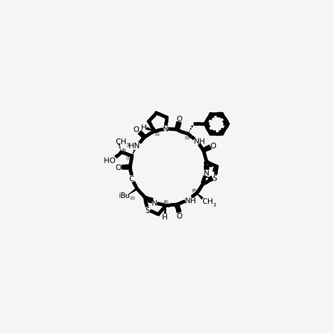 CC[C@H](C)C1CC(=O)[C@H]([C@@H](C)O)NC(=O)[C@@H]2CCCN2C(=O)[C@H](Cc2ccccc2)NC(=O)c2csc(n2)[C@@H](C)NC(=O)[C@@H]2CSC1=N2